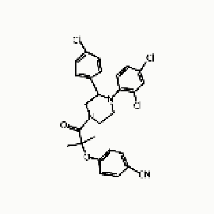 CC(C)(Oc1ccc(C#N)cc1)C(=O)N1CCN(c2ccc(Cl)cc2Cl)C(c2ccc(Cl)cc2)C1